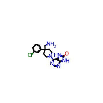 NCC1(c2cccc(Cl)c2)CCN(c2ncnc3[nH]c(=O)[nH]c23)CC1